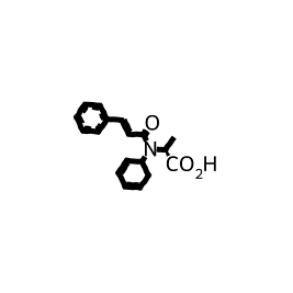 C[C@@H](C(=O)O)N(C(=O)C=Cc1ccccc1)C1C=CC=CC1